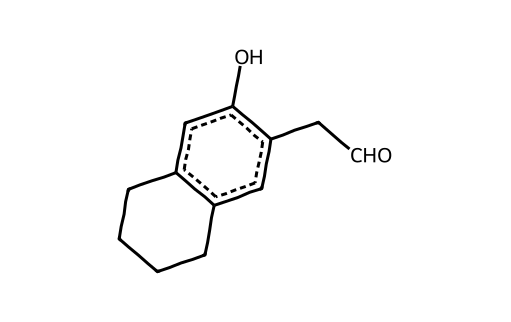 O=CCc1cc2c(cc1O)CCCC2